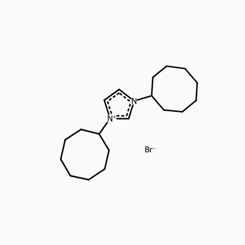 [Br-].c1c[n+](C2CCCCCCC2)cn1C1CCCCCCC1